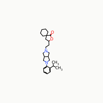 CC(C)c1ccccc1N1CC2CN(CCC3CC4(CCCCC4)C(=O)O3)CC2C1